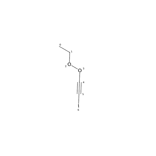 CCOOC#CI